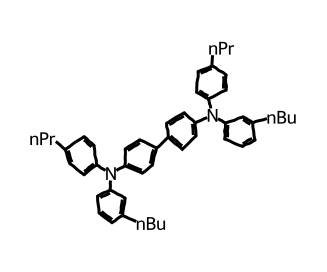 CCCCc1cccc(N(c2ccc(CCC)cc2)c2ccc(-c3ccc(N(c4ccc(CCC)cc4)c4cccc(CCCC)c4)cc3)cc2)c1